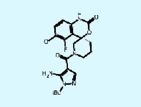 CC(C)(C)n1ncc(C(=O)N2CCC[C@@]3(C2)OC(=O)Nc2ccc(Cl)c(F)c23)c1N